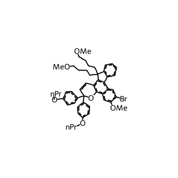 CCCOc1ccc(C2(c3ccc(OCCC)cc3)C=Cc3c4c(c5cc(Br)c(OC)cc5c3O2)-c2ccccc2C4(CCCCOC)CCCCOC)cc1